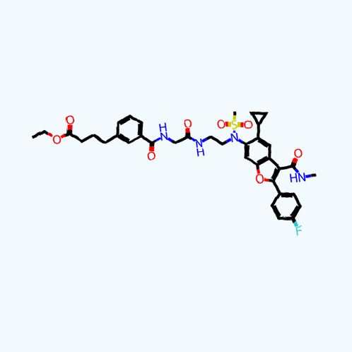 CCOC(=O)CCCc1cccc(C(=O)NCC(=O)NCCN(c2cc3oc(-c4ccc(F)cc4)c(C(=O)NC)c3cc2C2CC2)S(C)(=O)=O)c1